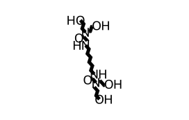 O=C(CNCCCCCCNC(=O)N(CCO)CCCO)N(CCO)CCO